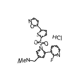 CNCc1cc(-c2cccnc2F)n(S(=O)(=O)c2ccc(-c3ccno3)s2)c1.Cl